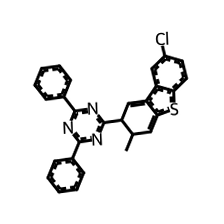 CC1C=c2sc3ccc(Cl)cc3c2=CC1c1nc(-c2ccccc2)nc(-c2ccccc2)n1